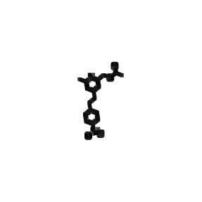 CC(=O)OCc1cc(CCc2ccc([N+](=O)[O-])cc2)cc(C)n1